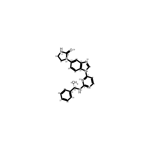 C[C@H](Nc1nccc(-n2cnc3cc(N4CCNC4=O)ccc32)n1)c1ccccc1